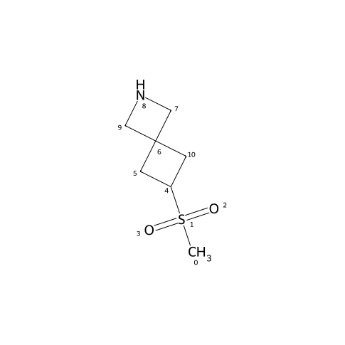 CS(=O)(=O)C1CC2(CNC2)C1